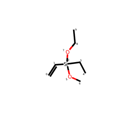 C=C[Si](CC)(OC)OCC